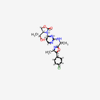 Cc1nc([C@H](C)Nc2nccc(N3C(=O)OC[C@@H]3[C@@H](C)O)n2)oc1-c1ccc(Cl)cc1